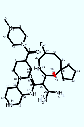 CN1CCN(C(=O)C2CCN(C3CCNCC3NC(=O)C(C(N)N)C3NCC(F)CCC4(CCCC4)C34CCC4)CC2)CC1